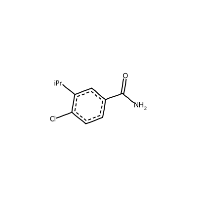 CC(C)c1cc(C(N)=O)ccc1Cl